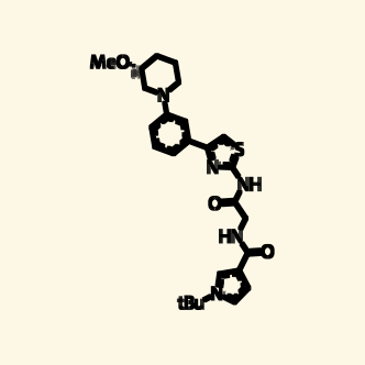 CO[C@@H]1CCCN(c2cccc(-c3csc(NC(=O)CNC(=O)c4ccn(C(C)(C)C)c4)n3)c2)C1